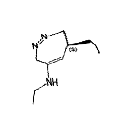 CCNC1=C[C@H](CC)CN=NC1